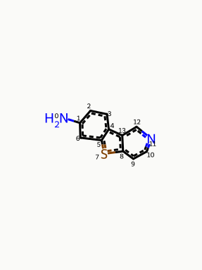 Nc1ccc2c(c1)sc1ccncc12